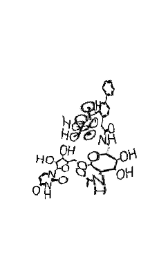 CC(=O)N[C@H]1[C@@H](OC[C@H]2O[C@@H](n3ccc(=O)[nH]c3=O)[C@H](O)[C@@H]2O)O[C@H](CNC(=O)Cc2ccc(-c3ccccc3)cc2P(=O)(O)OP(=O)(O)O)[C@@H](O)[C@@H]1O